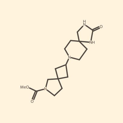 COC(=O)N1CCC2(CC(N3CCC4(CC3)CNC(=O)N4)C2)C1